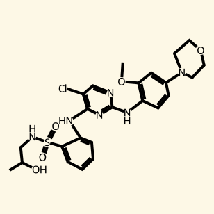 COc1cc(N2CCOCC2)ccc1Nc1ncc(Cl)c(Nc2ccccc2S(=O)(=O)NCC(C)O)n1